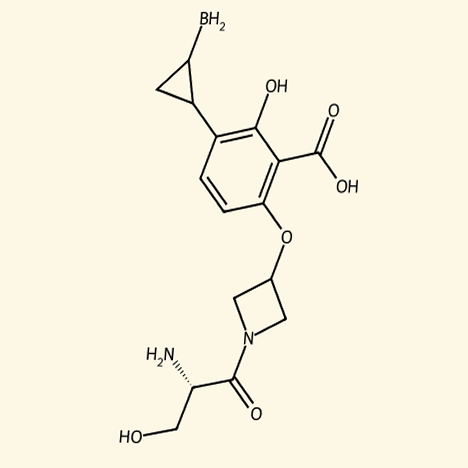 BC1CC1c1ccc(OC2CN(C(=O)[C@@H](N)CO)C2)c(C(=O)O)c1O